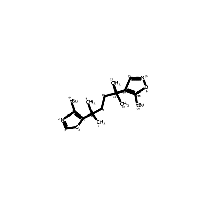 CC(C)(C)c1ncsc1C(C)(C)CCC(C)(C)c1cnoc1C(C)(C)C